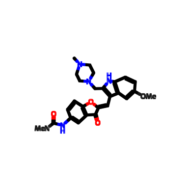 CNC(=O)Nc1ccc2c(c1)C(=O)C(=Cc1c(CN3CCN(C)CC3)[nH]c3ccc(OC)cc13)O2